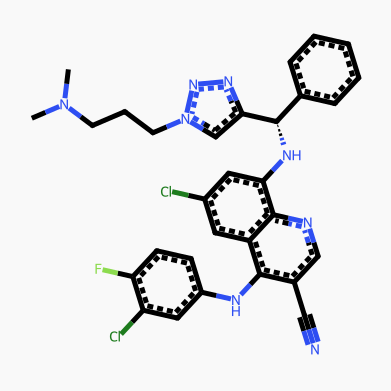 CN(C)CCCn1cc([C@@H](Nc2cc(Cl)cc3c(Nc4ccc(F)c(Cl)c4)c(C#N)cnc23)c2ccccc2)nn1